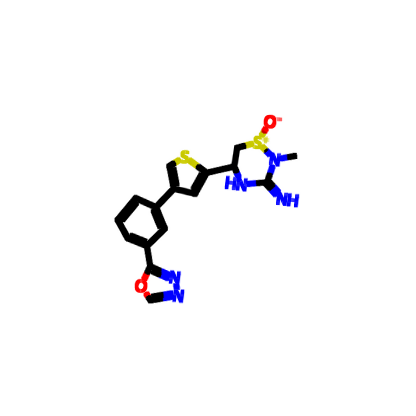 CN1C(=N)NC(c2cc(-c3cccc(-c4nnco4)c3)cs2)C[S+]1[O-]